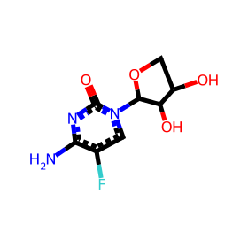 Nc1nc(=O)n(C2OCC(O)C2O)cc1F